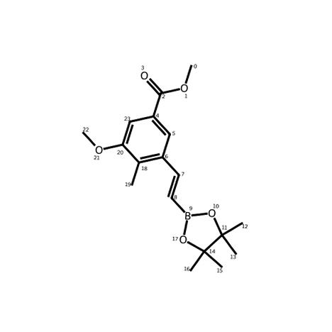 COC(=O)c1cc(/C=C/B2OC(C)(C)C(C)(C)O2)c(C)c(OC)c1